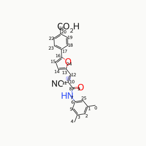 Cc1cc(C)cc(NC(=O)/C(C#N)=C/c2ccc(-c3ccc(C(=O)O)cc3)o2)c1